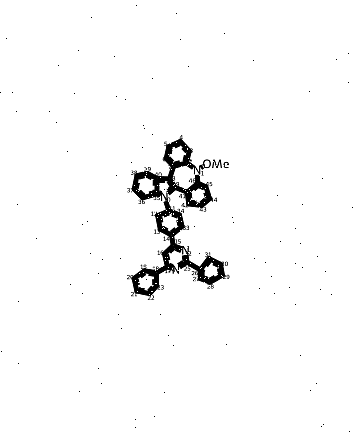 CON1c2ccccc2-c2c(n(-c3ccc(-c4cc(-c5ccccc5)nc(-c5ccccc5)n4)cc3)c3ccccc23)-c2ccccc21